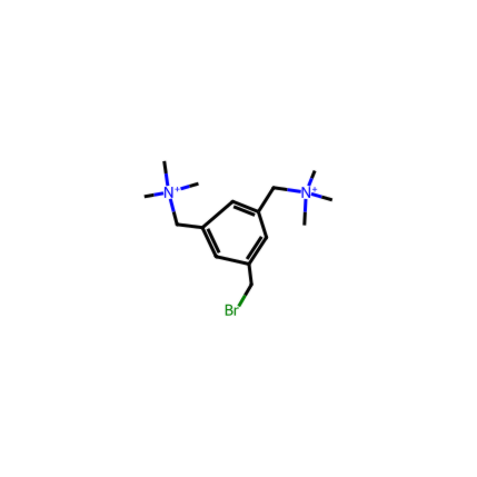 C[N+](C)(C)Cc1cc(CBr)cc(C[N+](C)(C)C)c1